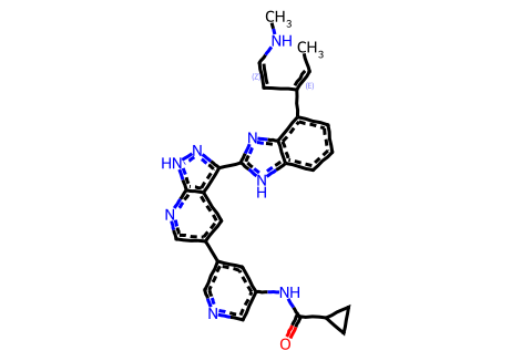 C/C=C(\C=C/NC)c1cccc2[nH]c(-c3n[nH]c4ncc(-c5cncc(NC(=O)C6CC6)c5)cc34)nc12